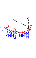 CCC=CCC=CCCCCCC(CCCCCCC)C(C=O)OC(=O)C(C)(C)NC(=O)[C@H](CC(C)C)NC(=O)OCc1ccc(NC(=O)[C@H](CCCNC(N)=O)NC(=O)[C@@H](N)C(C)C)cc1